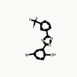 Oc1ccc(Br)cc1-c1nc(-c2cccc(C(F)(F)F)c2)no1